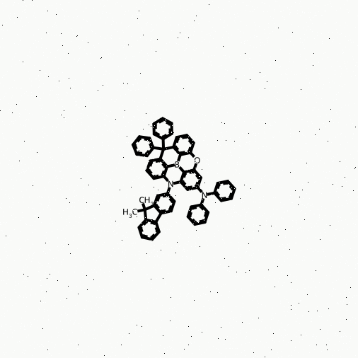 CC1(C)c2ccccc2-c2ccc(N3c4cc(N(c5ccccc5)c5ccccc5)cc5c4B4c6c(cccc6C(c6ccccc6)(c6ccccc6)c6cccc3c64)O5)cc21